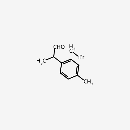 CC(C)C.Cc1ccc(C(C)C=O)cc1